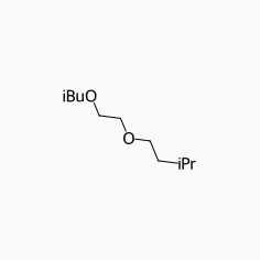 CC(C)CCOCCOCC(C)C